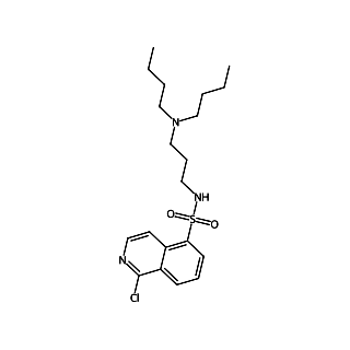 CCCCN(CCCC)CCCNS(=O)(=O)c1cccc2c(Cl)nccc12